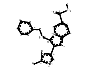 COC(=O)c1ccc2nc(-c3c[nH]c(C)n3)c(NCc3ccccc3)n2c1